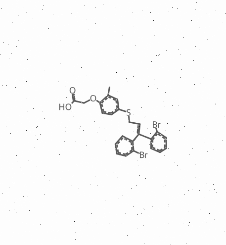 Cc1cc(SCC=C(c2ccccc2Br)c2ccccc2Br)ccc1OCC(=O)O